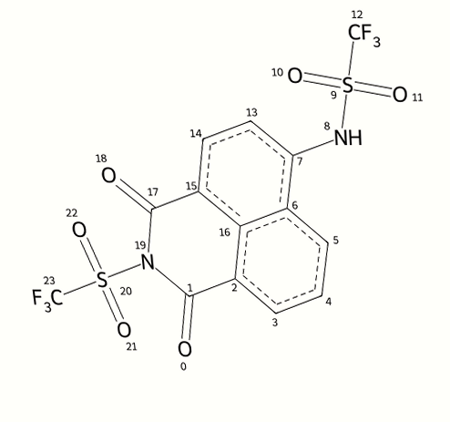 O=C1c2cccc3c(NS(=O)(=O)C(F)(F)F)ccc(c23)C(=O)N1S(=O)(=O)C(F)(F)F